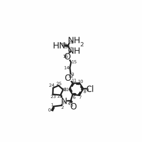 C=CCN(C(=O)c1cc(Cl)cc(OCCCONC(=N)N)c1)C1CCCC1